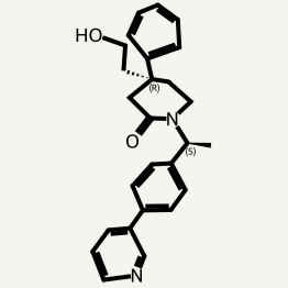 C[C@@H](c1ccc(-c2cccnc2)cc1)N1CC[C@](CCO)(c2ccccc2)CC1=O